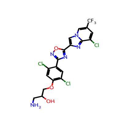 NCC(O)COc1cc(Cl)c(-c2noc(-c3cn4cc(C(F)(F)F)cc(Cl)c4n3)n2)cc1Cl